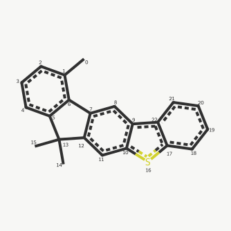 Cc1cccc2c1-c1cc3c(cc1C2(C)C)sc1ccccc13